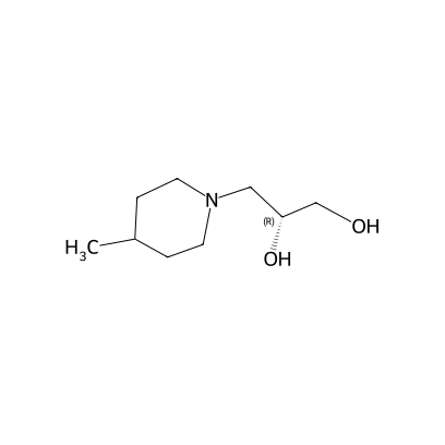 CC1CCN(C[C@@H](O)CO)CC1